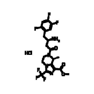 COC(=O)c1nc(C(F)(F)F)n2c1[C@H](C)N(C(=O)CC(N)Cc1cc(F)c(F)cc1F)CC2.Cl